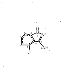 NC1=NBc2cccc(I)c21